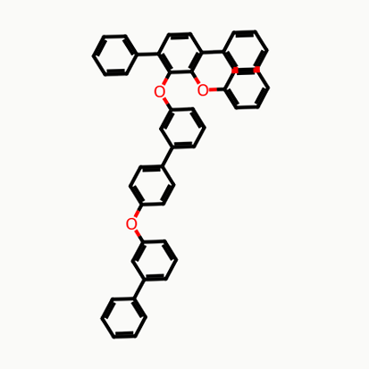 c1ccc(Oc2c(-c3ccccc3)ccc(-c3ccccc3)c2Oc2cccc(-c3ccc(Oc4cccc(-c5ccccc5)c4)cc3)c2)cc1